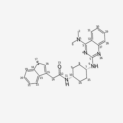 CN(C)c1nc(N[C@H]2CC[C@@H](NC(=O)Cc3csc4ccccc34)CC2)nc2ccccc12